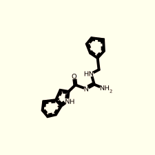 NC(=NC(=O)c1cc2ccccc2[nH]1)NCc1ccccc1